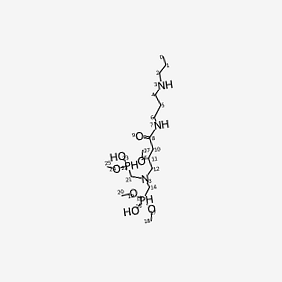 CCCNCCCNC(=O)CCCN(C[PH](O)(OC)OC)C[PH](O)(OC)OC